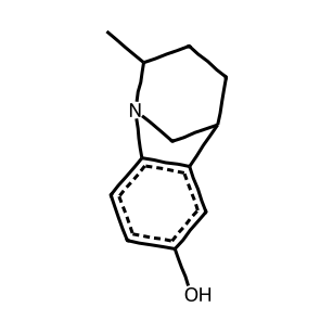 CC1CCC2CN1c1ccc(O)cc12